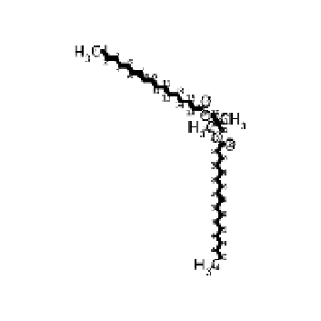 CCCCCCC/C=C/CCCCCCCCC(=O)OCC(C)(C)COC(=O)CCCCCC/C=C/CCCCCCCCC